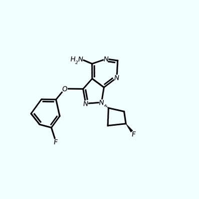 Nc1ncnc2c1c(Oc1cccc(F)c1)nn2[C@H]1C[C@H](F)C1